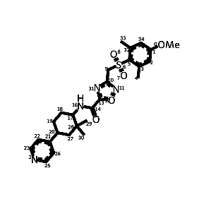 COc1cc(C)c(S(=O)(=O)Cc2noc(C(=O)NC3CCC(c4ccncc4)CC3(C)C)n2)c(C)c1